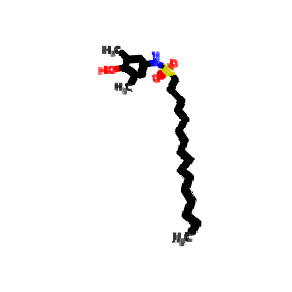 CCCCCCCCCCCCCCCCS(=O)(=O)Nc1cc(C)c(O)c(C)c1